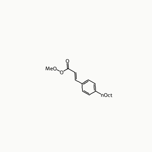 CCCCCCCCc1ccc(C=CC(=O)OOC)cc1